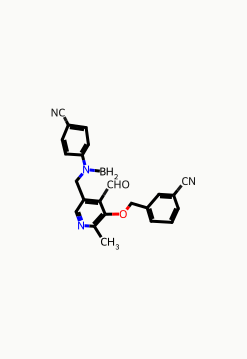 BN(Cc1cnc(C)c(OCc2cccc(C#N)c2)c1C=O)c1ccc(C#N)cc1